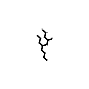 CCCCC(CCC)CC(C)CCC